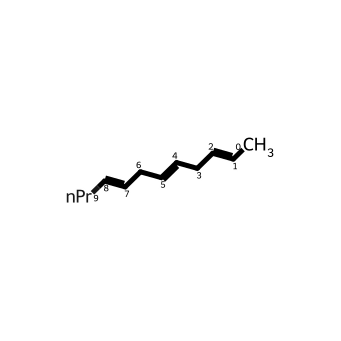 C/C=C/C/C=C/C/C=C/CCC